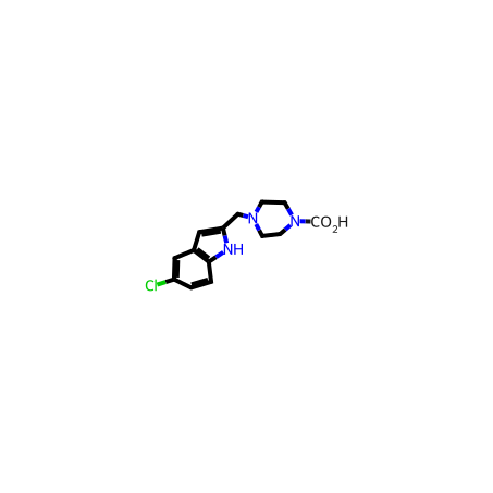 O=C(O)N1CCN(Cc2cc3cc(Cl)ccc3[nH]2)CC1